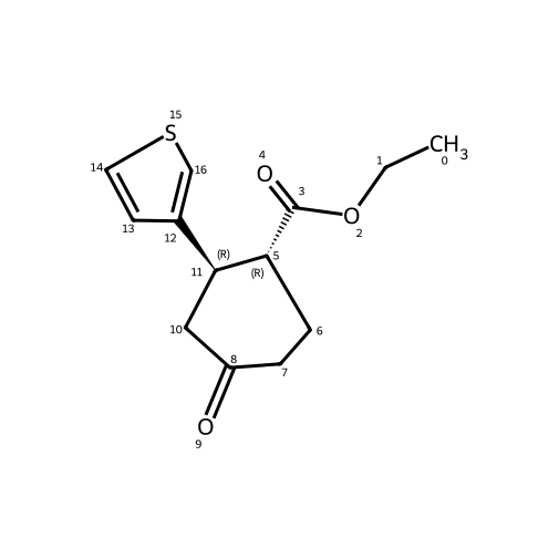 CCOC(=O)[C@@H]1CCC(=O)C[C@H]1c1ccsc1